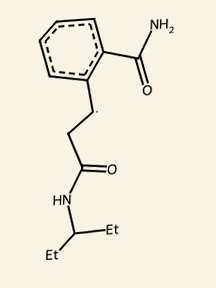 CCC(CC)NC(=O)C[CH]c1ccccc1C(N)=O